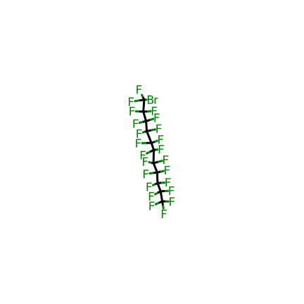 FC(F)(F)C(F)(F)C(F)(F)C(F)(F)C(F)(F)C(F)(F)C(F)(F)C(F)(F)C(F)(F)C(F)(F)C(F)(F)Br